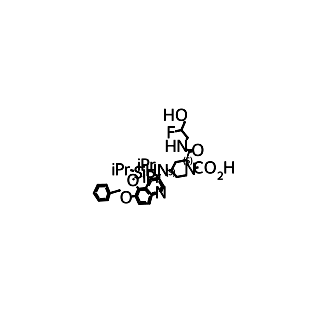 CC(C)[Si](Oc1c(OCc2ccccc2)ccc2ncc(N[C@H]3CCN(C(=O)O)[C@H](C(=O)NCC(F)CO)C3)cc12)(C(C)C)C(C)C